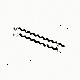 CCCCCCCCCCCCCCCCCC(=O)O.CCCCCCCCCCCCCCCCCCOCC[O]